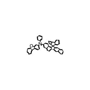 c1ccc(N(c2ccc3c4c(ccc3c2)-c2cc3ccccc3cc2C42c3ccccc3-c3ccccc32)c2ccc3c(c2)oc2ccccc23)cc1